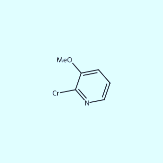 COc1cccn[c]1[Cr]